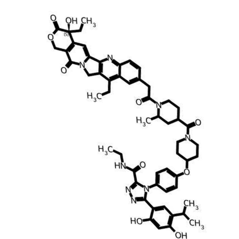 CCNC(=O)c1nnc(-c2cc(C(C)C)c(O)cc2O)n1-c1ccc(OC2CCN(C(=O)C3CCN(C(=O)Cc4ccc5nc6c(c(CC)c5c4)Cn4c-6cc5c(c4=O)COC(=O)[C@]5(O)CC)C(C)C3)CC2)cc1